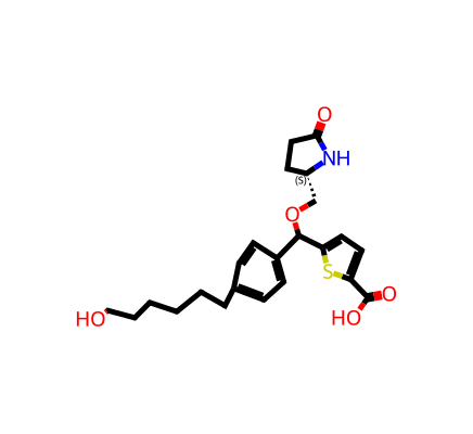 O=C1CC[C@@H](COC(c2ccc(CCCCCCO)cc2)c2ccc(C(=O)O)s2)N1